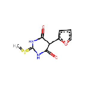 C=S=C1NC(=O)C(c2ccco2)C(=O)N1